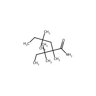 CCC(C)(C)CC(C)(C(N)=O)C(C)(C)CC